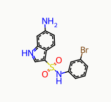 Nc1ccc2c(S(=O)(=O)Nc3cccc(Br)c3)c[nH]c2c1